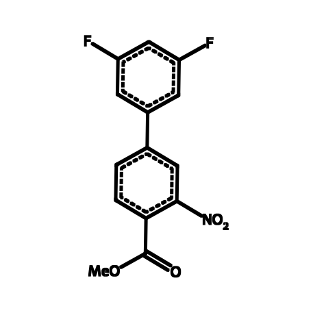 COC(=O)c1ccc(-c2cc(F)cc(F)c2)cc1[N+](=O)[O-]